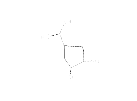 CC(C)C1CC(Cl)C(Cl)C1